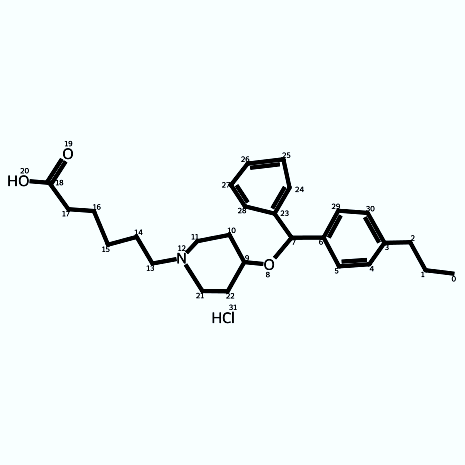 CCCc1ccc(C(OC2CCN(CCCCCC(=O)O)CC2)c2ccccc2)cc1.Cl